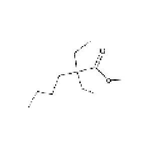 CCCCC(CC)(CC)C(=O)OC